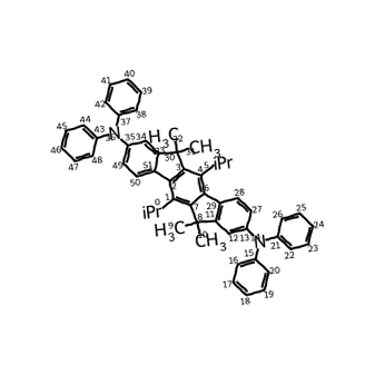 CC(C)c1c2c(c(C(C)C)c3c1C(C)(C)c1cc(N(c4ccccc4)c4ccccc4)ccc1-3)C(C)(C)c1cc(N(c3ccccc3)c3ccccc3)ccc1-2